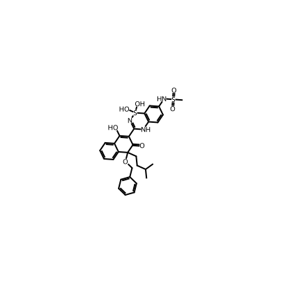 CC(C)CCC1(OCc2ccccc2)C(=O)C(C2=NS(O)(O)c3cc(NS(C)(=O)=O)ccc3N2)=C(O)c2ccccc21